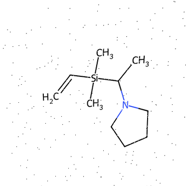 C=C[Si](C)(C)C(C)N1CCCC1